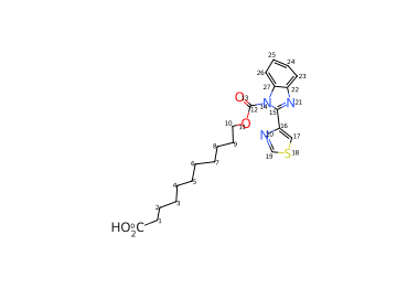 O=C(O)CCCCCCCCCCOC(=O)n1c(-c2cscn2)nc2ccccc21